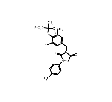 CCOC(=O)C(C)(C)Oc1c(C)cc(CN2C(=O)CN(c3ccc(C(F)(F)F)cc3)C2=O)cc1Cl